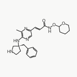 Cc1nc(/C=C/C(=O)NOC2CCCCO2)cnc1N[C@]1(Cc2ccccc2)CCNC1